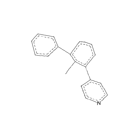 Cc1c(-c2ccccc2)cccc1-c1ccncc1